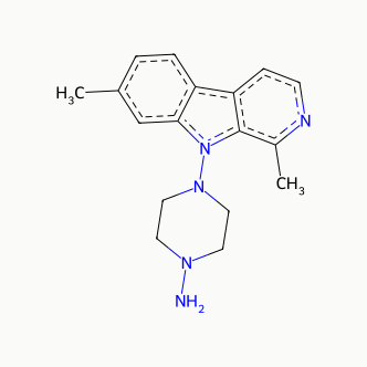 Cc1ccc2c3ccnc(C)c3n(N3CCN(N)CC3)c2c1